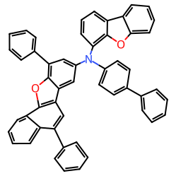 c1ccc(-c2ccc(N(c3cc(-c4ccccc4)c4oc5c6ccccc6c(-c6ccccc6)cc5c4c3)c3cccc4c3oc3ccccc34)cc2)cc1